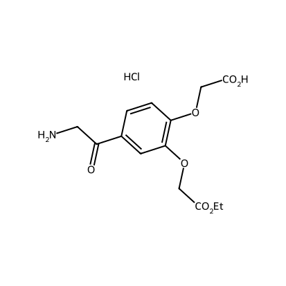 CCOC(=O)COc1cc(C(=O)CN)ccc1OCC(=O)O.Cl